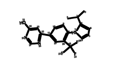 CC(C)C1=CC=C[SH]1c1ccc(-c2cc(O)ncn2)cc1C(F)(F)F